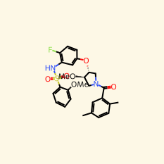 COc1ccccc1S(=O)(=O)Nc1cc(O[C@@H]2CN(C(=O)c3cc(C)ccc3C)C[C@H]2OC)ccc1F